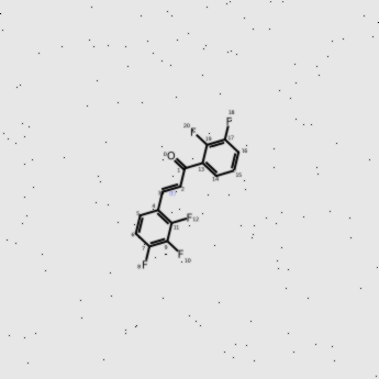 O=C(/C=C/c1ccc(F)c(F)c1F)c1cccc(F)c1F